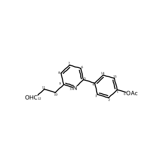 CC(=O)Oc1ccc(-c2cccc(CCC=O)n2)cc1